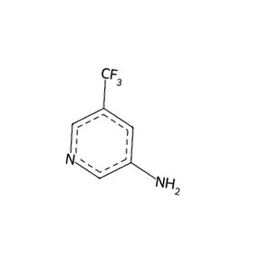 Nc1cncc(C(F)(F)F)c1